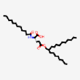 CCCCCCCCCCCC(=O)N[C@@H](CCC(=O)OCC(CCCCCCCC)CCCCCCCCCC)C(=O)O